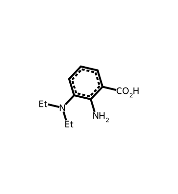 CCN(CC)c1cccc(C(=O)O)c1N